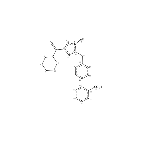 CCCn1nc(C(=O)C2CCCCC2)nc1Cc1ccc(-c2cccnc2C(=O)O)cc1